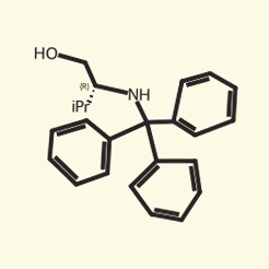 CC(C)[C@H](CO)NC(c1ccccc1)(c1ccccc1)c1ccccc1